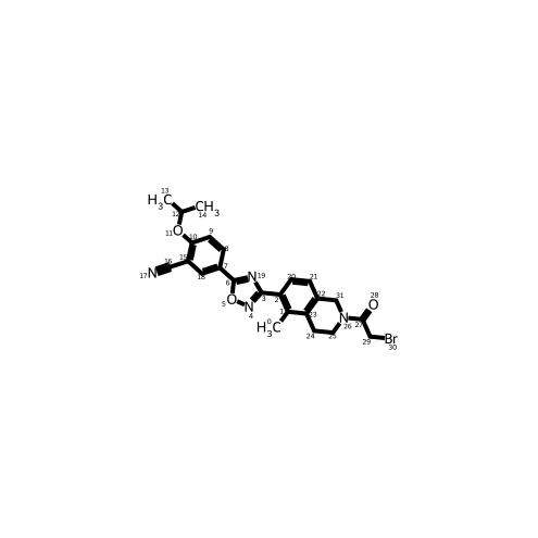 Cc1c(-c2noc(-c3ccc(OC(C)C)c(C#N)c3)n2)ccc2c1CCN(C(=O)CBr)C2